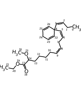 CC/C=C\C1(/C=C\C/C=C\CCCCC(OC)C(=O)OCC)C=CCC=C1